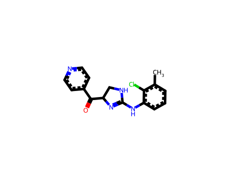 Cc1cccc(NC2=NC(C(=O)c3ccncc3)CN2)c1Cl